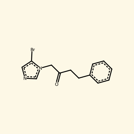 O=C(CCc1ccccc1)Cn1cncc1Br